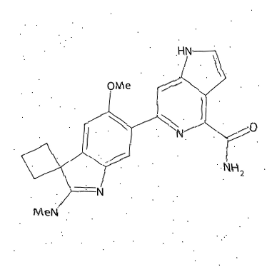 CNC1=Nc2cc(-c3cc4[nH]ccc4c(C(N)=O)n3)c(OC)cc2C12CCC2